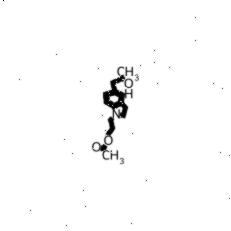 CC(=O)OCCCN1CCc2cc(C[C@@H](C)O)ccc21